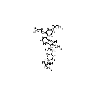 COc1ccc(-c2ccnc3c(C(=O)N[C@H]4CC[C@@H](NC(C)=O)CC4)c(C)[nH]c23)c(OCC2CC2)c1